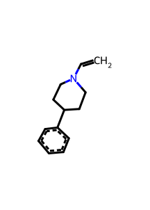 C=CN1CCC(c2ccccc2)CC1